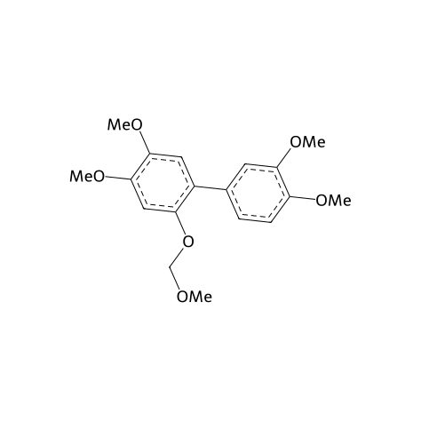 COCOc1cc(OC)c(OC)cc1-c1ccc(OC)c(OC)c1